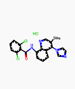 CSc1cnc2c(NC(=O)c3c(Cl)cccc3Cl)cccc2c1-n1ccnc1.Cl